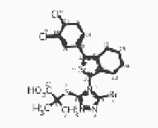 CC(C)(Sc1nnc(Br)n1-c1sc(C2=CCC(Cl)C(Cl)=C2)c2c1CCCC2)C(=O)O